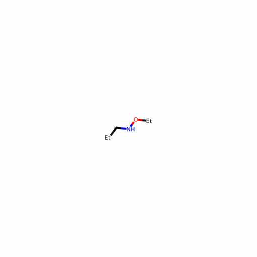 CC[C]NOCC